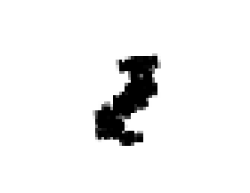 CC(C)(C)c1cc2c(-c3ccc(S(=O)(=O)NC4CCS(O)(O)CC4)cn3)ccnc2[nH]1